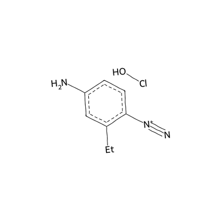 CCc1cc(N)ccc1[N+]#N.OCl